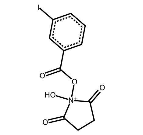 O=C(O[N+]1(O)C(=O)CCC1=O)c1cccc(I)c1